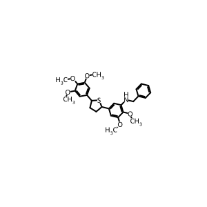 COc1cc(C2CCC(c3cc(OC)c(OC)c(OC)c3)S2)cc(NCc2ccccc2)c1OC